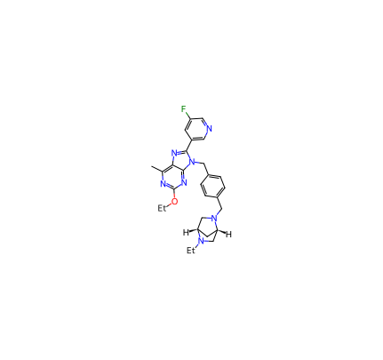 CCOc1nc(C)c2nc(-c3cncc(F)c3)n(Cc3ccc(CN4C[C@@H]5C[C@H]4CN5CC)cc3)c2n1